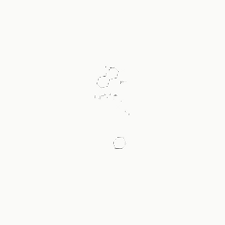 COc1ccc2ncc(Cl)c([C@@H](F)CCC3(C(=O)O)CCN(CCCc4cc(F)c(F)c(F)c4)CC3)c2c1